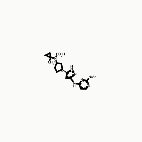 CNc1nccc(Nc2cc([C@H]3CC[C@@H](N(C(=O)O)C4(C)CC4)C3)[nH]n2)n1